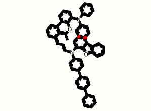 CC1=c2c(ccc/c2=C/C=C/N(c2ccc(-c3ccc(-c4ccccc4)cc3)cc2)c2cccc3c2oc2ccccc23)-c2cccc(N(c3ccccc3)c3ccccc3)c2O1